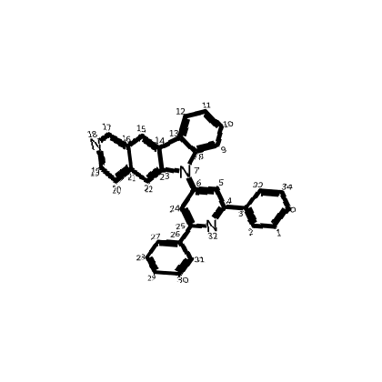 c1ccc(-c2cc(-n3c4ccccc4c4cc5cnccc5cc43)cc(-c3ccccc3)n2)cc1